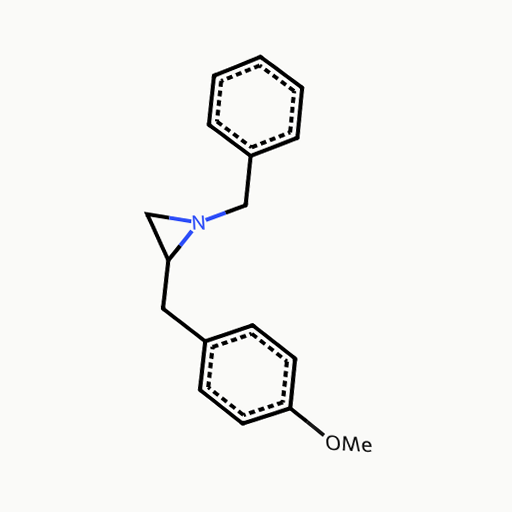 COc1ccc(CC2CN2Cc2ccccc2)cc1